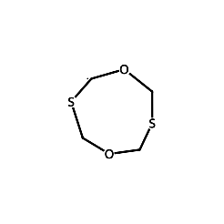 [CH]1OCSCOCS1